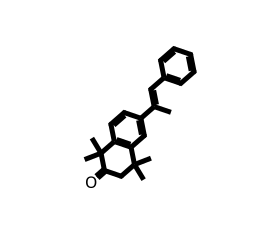 CC(=Cc1ccccc1)c1ccc2c(c1)C(C)(C)CC(=O)C2(C)C